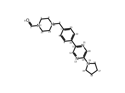 O=CN1CCN(Cc2ccc(-c3cnc(N4CCCC4)cn3)cc2)CC1